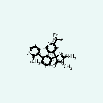 Cc1ncccc1-c1cccc(C2(c3ccnc(C(F)F)c3)N=C(N)N(C)C2=O)c1